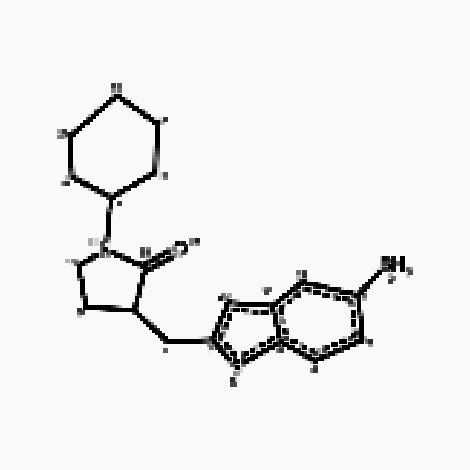 Bc1ccc2sc(CC3CCN(C4CCCCC4)C3=O)cc2c1